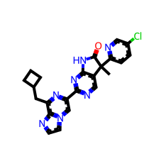 CC1(c2ccc(Cl)cn2)C(=O)Nc2nc(-c3cn4ccnc4c(CC4CCC4)n3)ncc21